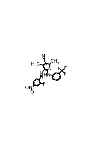 Cc1nc(Nc2cccc(C(F)(F)F)c2)c(N=Nc2ccc([N+](=O)[O-])cc2F)c(C)c1C#N